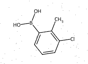 Cc1c(Cl)cccc1B(O)O